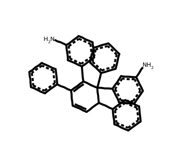 Nc1cccc(C2=C(c3ccccc3)C=CC(c3ccccc3)C2(c2ccccc2)c2cccc(N)c2)c1